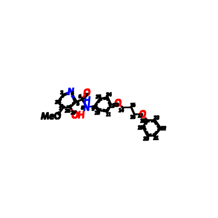 COc1ccnc(C(=O)Nc2ccc(OCCCOc3ccccc3)cc2)c1O